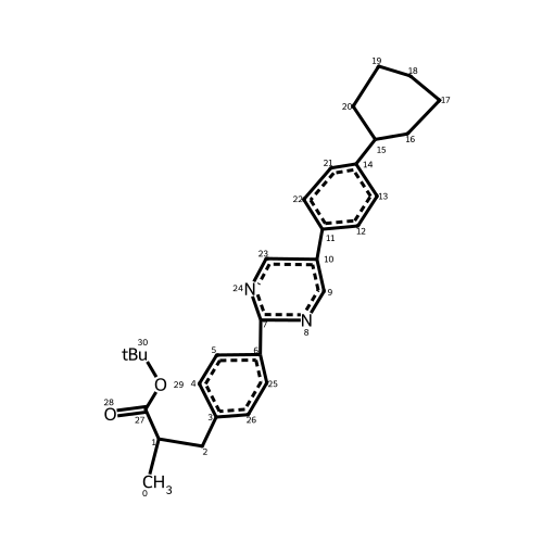 CC(Cc1ccc(-c2ncc(-c3ccc(C4CCCCC4)cc3)cn2)cc1)C(=O)OC(C)(C)C